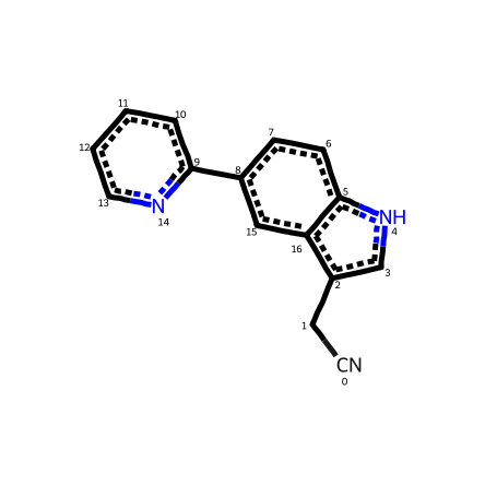 N#CCc1c[nH]c2ccc(-c3ccccn3)cc12